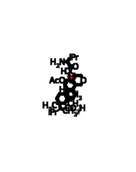 CC(=O)O[C@@H]1C[C@@]23COC[C@@](C)([C@@H]2CC[C@H]2C3=CC[C@@]3(C)[C@H](C(=O)O)[C@@](C)([C@H](C)C(C)C)CC[C@]23C)[C@H]1OC(=O)C(N)C(C)C